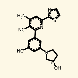 N#Cc1cc(-c2nc(-c3nccs3)cc(N)c2C#N)cc(N2CC[C@@H](O)C2)c1